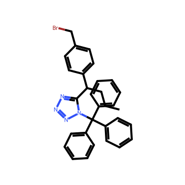 CCCC(c1ccc(CBr)cc1)c1nnnn1C(c1ccccc1)(c1ccccc1)c1ccccc1